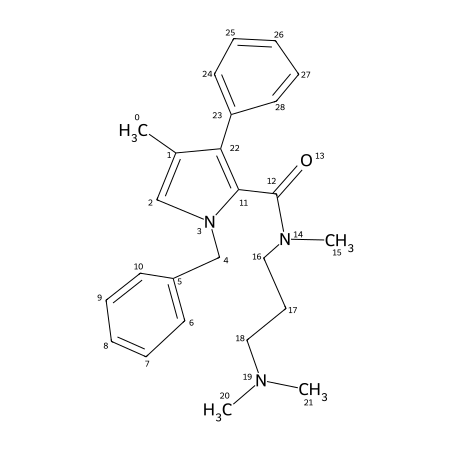 Cc1cn(Cc2ccccc2)c(C(=O)N(C)CCCN(C)C)c1-c1ccccc1